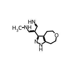 CN/C=C(\C=N)c1n[nH]c2c1CCOCC2